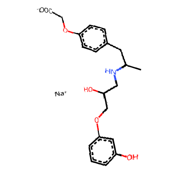 CC(Cc1ccc(OCC(=O)[O-])cc1)NCC(O)COc1cccc(O)c1.[Na+]